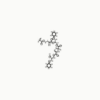 C=C(C)C(=O)OCCNC(=O)OC(COC(=O)C(C)(C)CC(=C)C(=O)OCC(COc1ccccc1)OC)COc1ccccc1